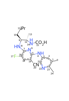 Cc1cc(Nc2nc(N[C@@H](CC(C)C)[C@H](C)NC(=O)O)c(F)cc2C#N)cnc1C